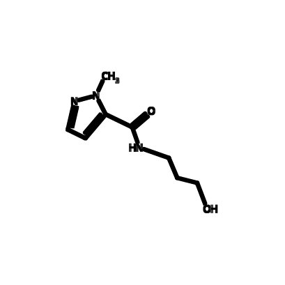 Cn1nccc1C(=O)NCCCO